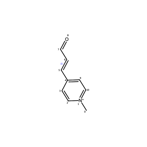 C[n+]1ccc(/C=C/C=O)cc1